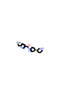 CCc1ccc(C(=O)NC2=CCC([C@@H]3CCCNC3)C=C2)cn1